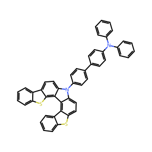 c1ccc(N(c2ccccc2)c2ccc(-c3ccc(-n4c5ccc6c7ccccc7sc6c5c5c6c(ccc54)sc4ccccc46)cc3)cc2)cc1